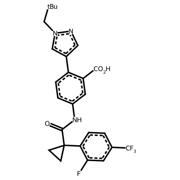 CC(C)(C)Cn1cc(-c2ccc(NC(=O)C3(c4ccc(C(F)(F)F)cc4F)CC3)cc2C(=O)O)cn1